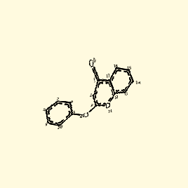 O=c1cc(Oc2ccccc2)oc2ccccc12